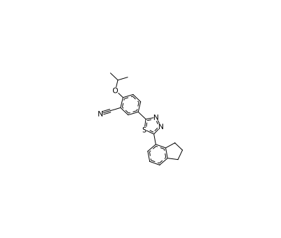 CC(C)Oc1ccc(-c2nnc(-c3cccc4c3CCC4)s2)cc1C#N